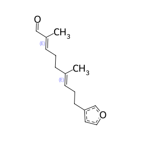 C/C(C=O)=C\CC/C(C)=C/CCc1ccoc1